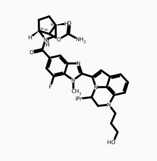 CC(C)C1CN(CCCO)c2cccc3cc(-c4nc5cc(C(=O)N6C[C@H]7CC[C@@H]6[C@@H]7OC(N)=O)cc(F)c5n4C)n1c23